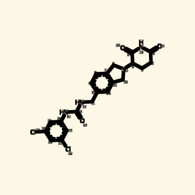 O=C1CCC(N2Cc3ccc(CNC(=O)Nc4cc(Cl)cc(Cl)c4)cc3C2)C(=O)N1